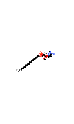 CC1(C)O[C@H]2[C@H](c3ccc4c(N)ncnn34)O[C@](C#N)(COP(=O)(O)OCCCCCCCCCCCCCCCCCCCC(F)(F)F)[C@H]2O1